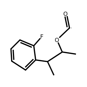 CC(O[C]=O)C(C)c1ccccc1F